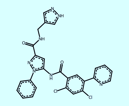 O=C(NCc1cn[nH]c1)c1cc(NC(=O)c2cc(-c3ccccn3)c(Cl)cc2Cl)n(-c2ccccc2)n1